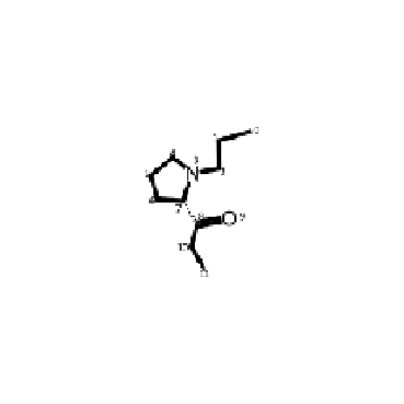 CCCN1CCC[C@H]1C(=O)CC